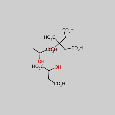 CC(O)C(=O)O.O=C(O)CC(O)(CC(=O)O)C(=O)O.O=C(O)CC(O)C(=O)O